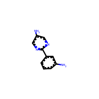 Nc1cnc(-c2cccc(N)c2)nc1